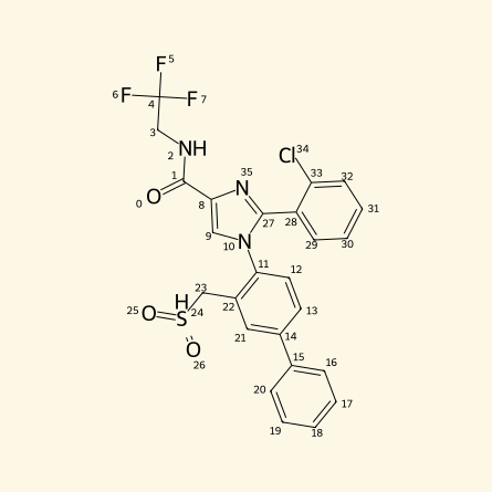 O=C(NCC(F)(F)F)c1cn(-c2ccc(-c3ccccc3)cc2C[SH](=O)=O)c(-c2ccccc2Cl)n1